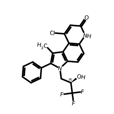 Cc1c(-c2ccccc2)n(C[C@@H](O)C(F)(F)F)c2ccc3[nH]c(=O)cc(Cl)c3c12